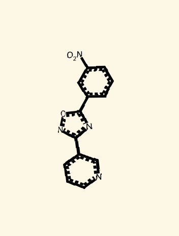 O=[N+]([O-])c1cccc(-c2nc(-c3cccnc3)no2)c1